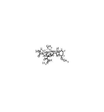 CCCC(NC(=O)c1nc2c(OC)cccc2[nH]1)(NC(CN1CCNC1=O)C(=O)C(=O)NC)C(C)=O